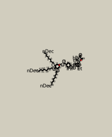 CCCCCCCCCCCCCCCCCCOc1cc(COC(=O)c2ccc([Si](OC3C[C@H](n4cc(C)c(=O)[nH]c4=O)O[C@@H]3CC)(C(C)C)C(C)C)cc2)cc(OCCCCCCCCCCCCCCCCCC)c1OCCCCCCCCCCCCCCCCCC